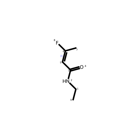 CCNC(=O)/C=C(\C)F